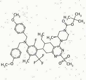 CCC1Cc2c(nc(S(C)(=O)=O)nc2N2CCN(C(=O)OC(C)(C)C)C[C@@H]2C)CC1c1c(F)c(N(Cc2ccc(OC)cc2)Cc2ccc(OC)cc2)cc(C)c1C(F)(F)F